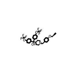 C#CCOc1ccc(CN2CCC(C(O)(c3ccc(OC(F)(F)F)cc3)c3ccc(OC(F)(F)F)cc3)CC2)cc1